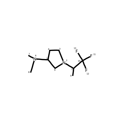 CC(N1CCC(N(C)C)C1)C(F)(F)F